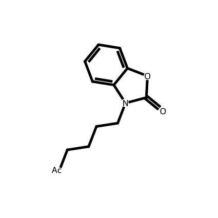 CC(=O)CCCCn1c(=O)oc2ccccc21